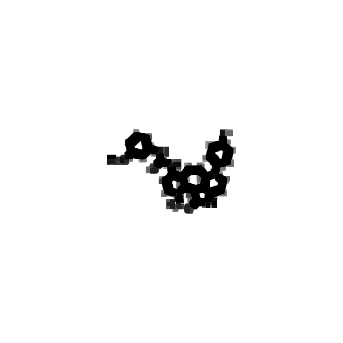 COc1cccc(NC(=O)NC2=c3ccc4c5c([nH]c(=O)c-5c3N(C)C=C2)=CCN4c2ccc(F)cc2)c1